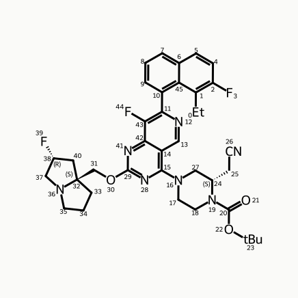 CCc1c(F)ccc2cccc(-c3ncc4c(N5CCN(C(=O)OC(C)(C)C)[C@@H](CC#N)C5)nc(OC[C@@]56CCCN5C[C@H](F)C6)nc4c3F)c12